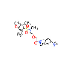 COc1cc(C)c(S(=O)(=O)N(C)CCOCC(=O)N(C)Cc2ccc(C3=NCC3)cc2)c(C)c1